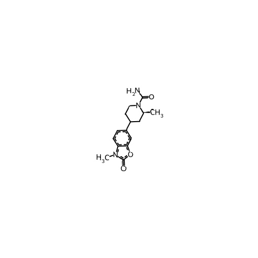 C[C@H]1CC(c2ccc3c(c2)oc(=O)n3C)CCN1C(N)=O